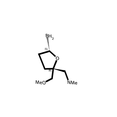 B[C@H]1CC[C@@](CNC)(COC)O1